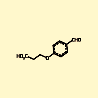 O=Cc1ccc(OCCC(=O)O)cc1